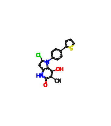 N#Cc1c(O)c2c(cc(Cl)n2-c2ccc(-c3cccs3)cc2)[nH]c1=O